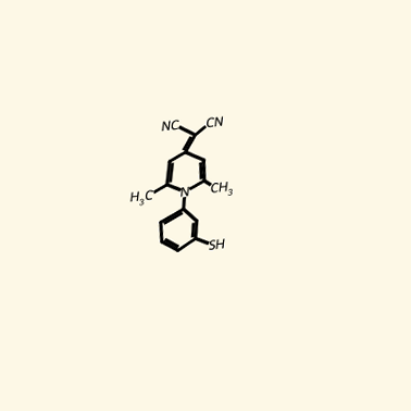 CC1=CC(=C(C#N)C#N)C=C(C)N1c1cccc(S)c1